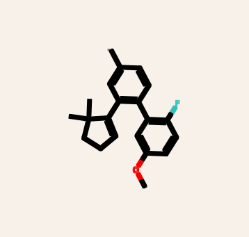 [CH2]c1ccc(-c2cc(OC)ccc2F)c(C2=CCCC2(C)C)c1